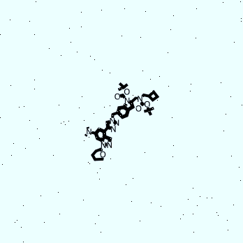 CN(C)c1cc(-c2cn(Cc3ccc4cc(CN(CC5CCC5)C(=O)OC(C)(C)C)n(C(=O)OC(C)(C)C)c4c3)nn2)c2cnn(C3CCCCO3)c2c1